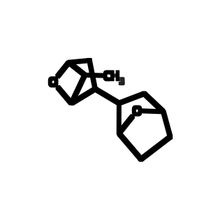 CC1C2CC(C3CC4CCC3O4)C1O2